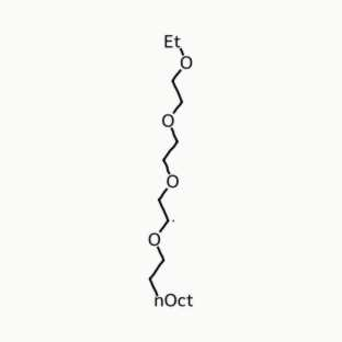 CCCCCCCCCCO[CH]COCCOCCOCC